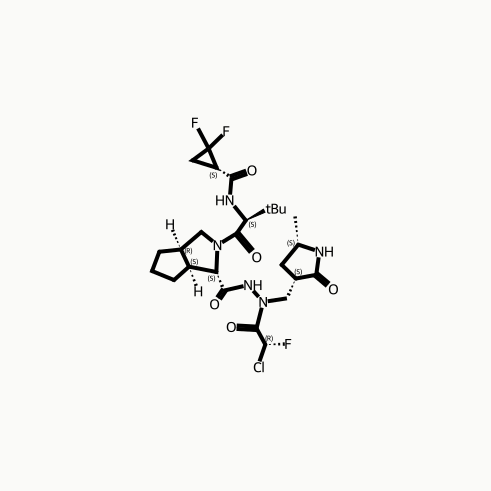 C[C@H]1C[C@@H](CN(NC(=O)[C@@H]2[C@H]3CCC[C@H]3CN2C(=O)[C@@H](NC(=O)[C@@H]2CC2(F)F)C(C)(C)C)C(=O)[C@H](F)Cl)C(=O)N1